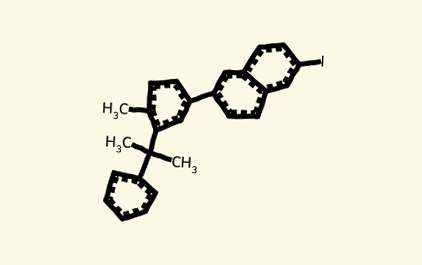 Cc1ccc(-c2ccc3cc(I)ccc3c2)cc1C(C)(C)c1ccccc1